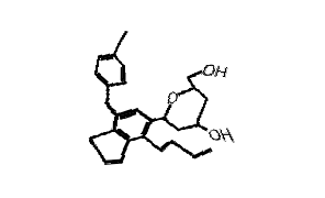 CCCCc1c(C2CC(O)CC(CO)O2)cc(Cc2ccc(C)cc2)c2c1CCC2